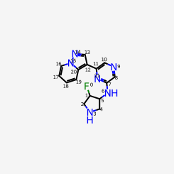 FC1CNCC1Nc1cncc(-c2cnn3ccccc23)n1